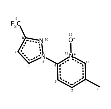 Cc1ccc(-n2ccc(C(F)(F)F)n2)[n+]([O-])c1